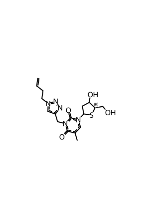 C=CCCn1cc(Cn2c(=O)c(C)cn(C3CC(O)[C@@H](CO)S3)c2=O)nn1